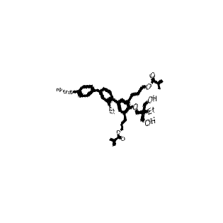 C=C(C)C(=O)OCCCc1cc(-c2ccc(-c3ccc(CCCCC)cc3)cc2CC)cc(CCCOC(=O)C(=C)C)c1OCC(CC)(CO)CO